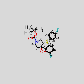 CC(C)(C)OC(=O)N1CCC(O)(c2cc(F)ccc2Sc2ccc(F)cc2)CC1